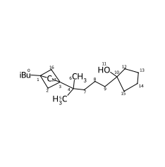 CCC(C)C12CC(C(C)(C)CCCC3(O)CCCC3)(C1)C2